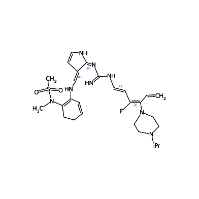 C=C/C(=C(F)\C=C\NC(=N)/N=C1/NC=C/C1=C\NC1=C(N(C)S(C)(=O)=O)CCC=C1)N1CCN(C(C)C)CC1